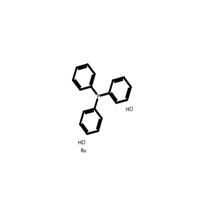 Cl.Cl.[Ru].c1ccc(P(c2ccccc2)c2ccccc2)cc1